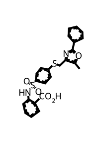 Cc1oc(-c2ccccc2)nc1CSc1ccc(S(=O)(=O)Nc2ccccc2C(=O)O)cc1